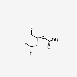 O=C(O)OC(CF)CC(F)F